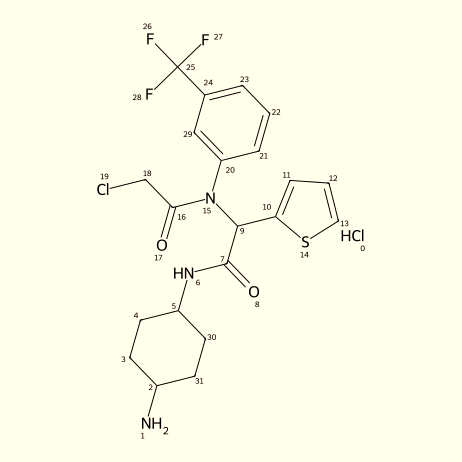 Cl.NC1CCC(NC(=O)C(c2cccs2)N(C(=O)CCl)c2cccc(C(F)(F)F)c2)CC1